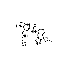 CC1CC(c2cccc(NC(=O)c3cc(CNCC4CCC4)c4[nH]ccc4n3)c2)(c2nncn2C)C1